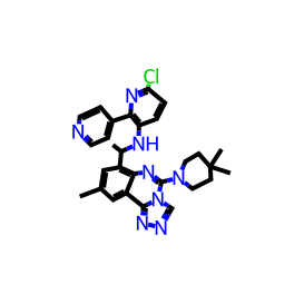 Cc1cc(C(C)Nc2ccc(Cl)nc2-c2ccncc2)c2nc(N3CCC(C)(C)CC3)n3cnnc3c2c1